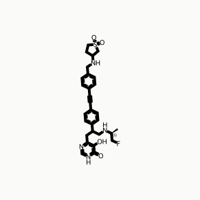 C[C@@H](CF)NCC(Cc1nc[nH]c(=O)c1O)c1ccc(C#Cc2ccc(CNC3CCS(=O)(=O)C3)cc2)cc1